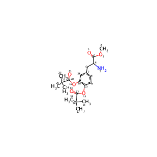 COC(=O)C(N)Cc1ccc(OC(=O)C(C)(C)C)c(OC(=O)C(C)(C)C)c1